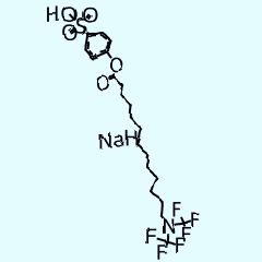 O=C(CCCCCCCCCCCCN(C(F)(F)F)C(F)(F)F)Oc1ccc(S(=O)(=O)O)cc1.[NaH]